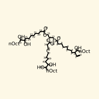 C=CC(CCCCCCCC(=O)OCC(COC(=O)CCCCCCCC(O)C(O)CCCCCCCC)OC(=O)CCCCCCCC(O)C(O)CCCCCCCC)C(O)CCCCCCCC